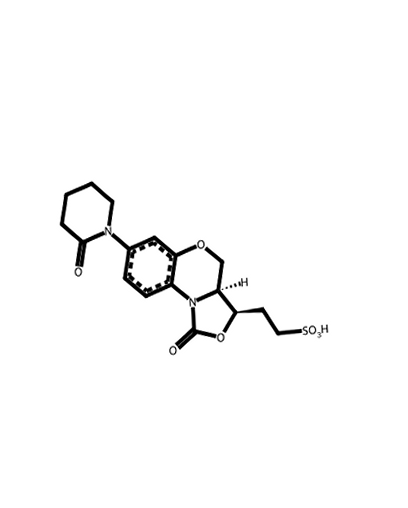 O=C1CCCCN1c1ccc2c(c1)OC[C@H]1[C@@H](CCS(=O)(=O)O)OC(=O)N21